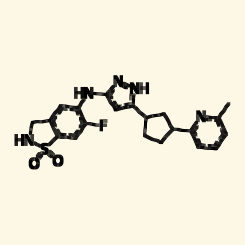 Cc1cccc(C2CCC(c3cc(Nc4cc5c(cc4F)S(=O)(=O)NC5)n[nH]3)C2)n1